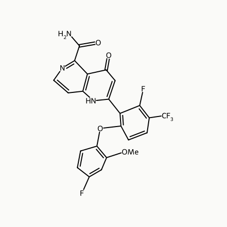 COc1cc(F)ccc1Oc1ccc(C(F)(F)F)c(F)c1-c1cc(=O)c2c(C(N)=O)nccc2[nH]1